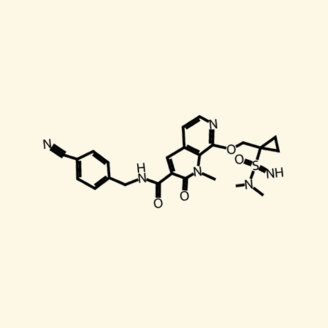 CN(C)S(=N)(=O)C1(COc2nccc3cc(C(=O)NCc4ccc(C#N)cc4)c(=O)n(C)c23)CC1